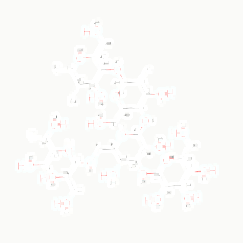 CC1C(O)[C@H](O[C@@H]2OC(CO[C@@H](OC(CO)[C@H](C)O)[C@H](O)CO)[C@@H](O)C(O[C@H]3O[C@H](CO)[C@@H](O)C(O)C3O)[C@H]2O)C(CO)O[C@H]1O[C@@H]1C(CO)O[C@@H](C)[C@@H](C)C1O